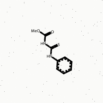 COC(=O)NC(=S)Nc1ccccc1